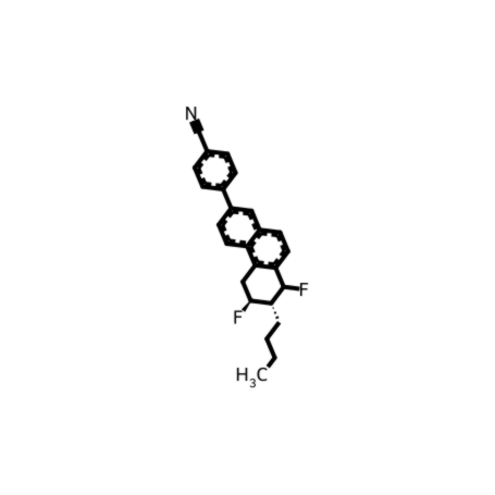 CCCC[C@H]1C(F)c2ccc3cc(-c4ccc(C#N)cc4)ccc3c2C[C@@H]1F